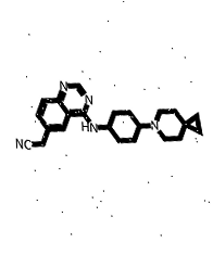 N#CCc1ccc2ncnc(NC3CCC(N4CCC5(CC4)CC5)CC3)c2c1